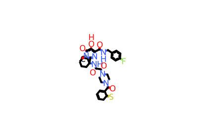 O=C(NC12CCC(CC1)Cn1c2nc(C(=O)NCc2ccc(F)cc2)c(O)c1=O)C(=O)N1CCN(C(=O)C2=CC=CCC2=S)CC1